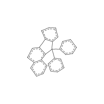 [c]1cccc2ccc3c(c12)C(c1ccccc1)(c1ccccc1)c1ccccc1-3